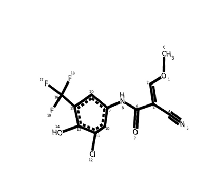 COC=C(C#N)C(=O)Nc1cc(Cl)c(O)c(C(F)(F)F)c1